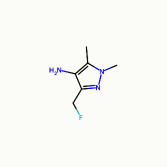 Cc1c(N)c(CF)nn1C